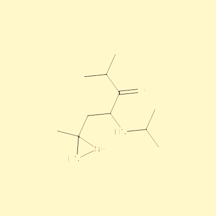 CC(C)NC(CC1(C)NN1)C(=O)C(C)C